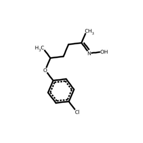 CC(CCC(C)Oc1ccc(Cl)cc1)=NO